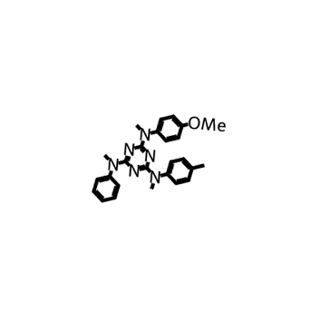 COc1ccc(N(C)c2nc(N(C)c3ccccc3)nc(N(C)c3ccc(C)cc3)n2)cc1